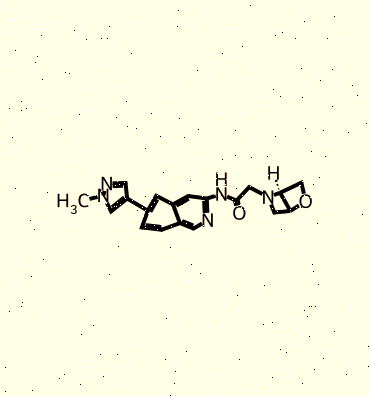 Cn1cc(-c2ccc3cnc(NC(=O)CN4CC5OC[C@@H]54)cc3c2)cn1